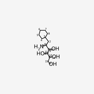 N[C@@H](CC1CCCCC1)[C@@H](O)[C@H](O)[C@@H](O)CO